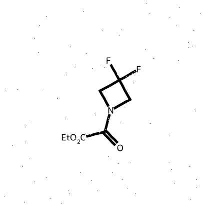 CCOC(=O)C(=O)N1CC(F)(F)C1